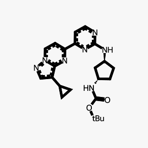 CC(C)(C)OC(=O)N[C@H]1CC[C@H](Nc2nccc(-c3ccn4ncc(C5CC5)c4n3)n2)C1